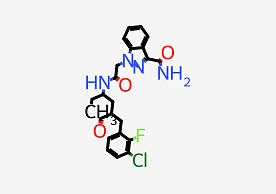 CCC(CC(C=O)Cc1cccc(Cl)c1F)NC(=O)Cn1nc(C(N)=O)c2ccccc21